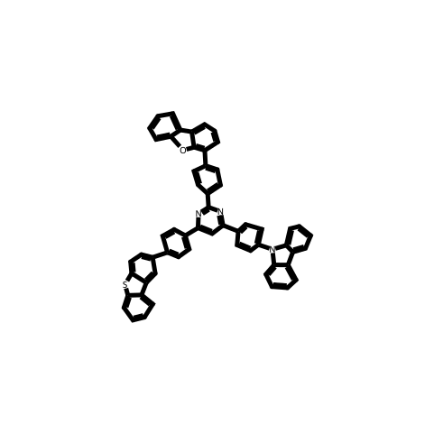 c1ccc2c(c1)oc1c(-c3ccc(-c4nc(-c5ccc(-c6ccc7sc8ccccc8c7c6)cc5)cc(-c5ccc(-n6c7ccccc7c7ccccc76)cc5)n4)cc3)cccc12